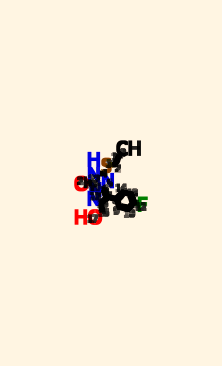 C#CCSc1nc2c(-c3ccc(F)cc3)c(CO)nn2c(=O)[nH]1